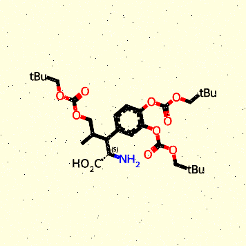 CC(COC(=O)OCC(C)(C)C)C(c1ccc(OC(=O)OCC(C)(C)C)c(OC(=O)OCC(C)(C)C)c1)[C@H](N)C(=O)O